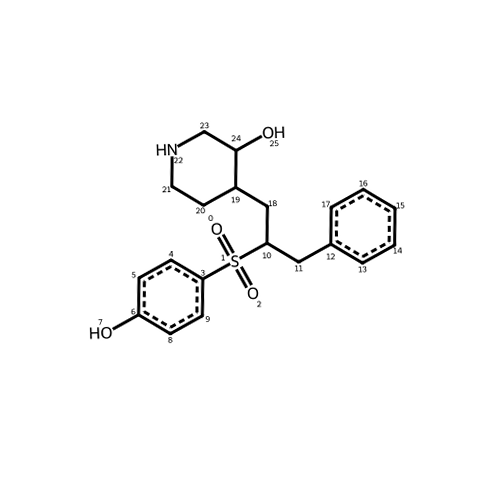 O=S(=O)(c1ccc(O)cc1)C(Cc1ccccc1)CC1CCNCC1O